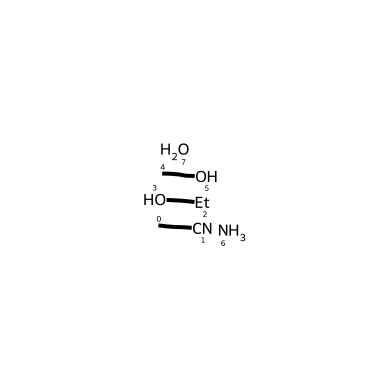 CC#N.CCO.CO.N.O